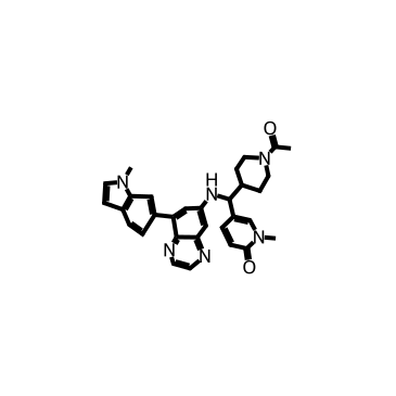 CC(=O)N1CCC(C(Nc2cc(-c3ccc4ccn(C)c4c3)c3nccnc3c2)c2ccc(=O)n(C)c2)CC1